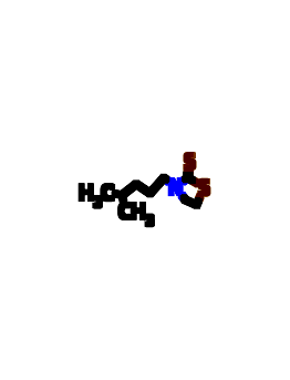 CC(C)CCCN1CCSC1=S